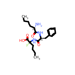 CCCC[C@H](N)C(=O)N[C@@H](Cc1ccccc1)C(=O)N[C@@](F)(CCCC)C(=O)O